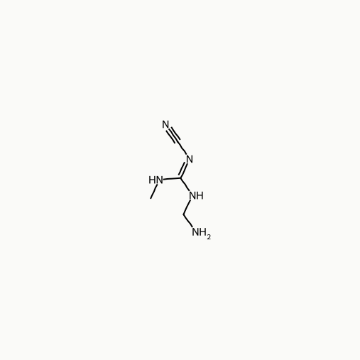 CN/C(=N\C#N)NCN